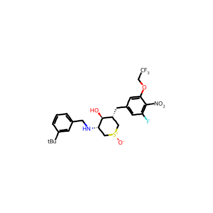 CC(C)(C)c1cccc(CN[C@H]2C[S@@+]([O-])C[C@@H](Cc3cc(F)c([N+](=O)[O-])c(OCC(F)(F)F)c3)[C@@H]2O)c1